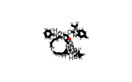 Cc1ccc2c(c1)nc(O[C@@H]1C[C@H]3C(=O)N[C@]4(C(=O)NS(=O)(=O)C5(C)CC5)C[C@H]4/C=C\CCCCC[C@H](Nc4ccccc4)C(=O)N3C1)n2C(C)C